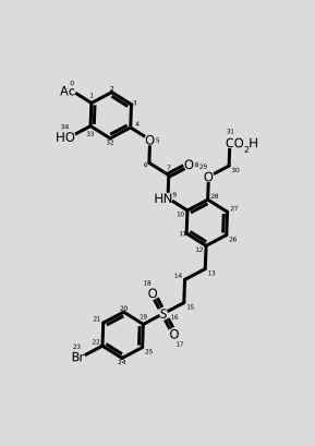 CC(=O)c1ccc(OCC(=O)Nc2cc(CCCS(=O)(=O)c3ccc(Br)cc3)ccc2OCC(=O)O)cc1O